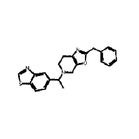 CC(c1ccc2scnc2c1)N1CCc2nc(Cc3ccccc3)oc2C1